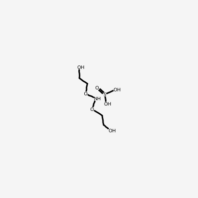 O=S(O)O.OCCONOCCO